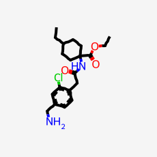 CCOC(=O)C1(NC(=O)Cc2ccc(CN)cc2Cl)CCC(CC)CC1